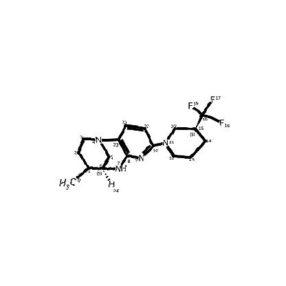 CC1CCN2C[C@H]1Nc1nc(N3CCC[C@H](C(F)(F)F)C3)ccc12